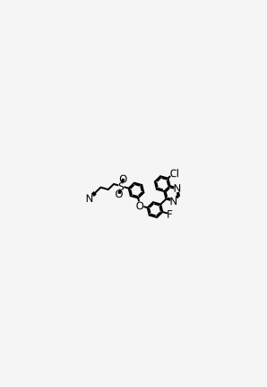 N#CCCCS(=O)(=O)c1cccc(Oc2ccc(F)c(-c3ncnc4c(Cl)cccc34)c2)c1